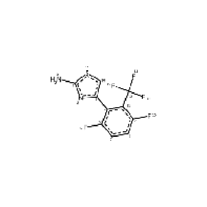 Nc1nc(-c2c(F)ccc(F)c2C(F)(F)F)cs1